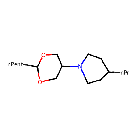 CCCCCC1OCC(N2CCC(CCC)CC2)CO1